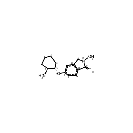 N[C@H]1CCCC[C@@H]1Oc1ccc2c(c1)CN(O)C2=O